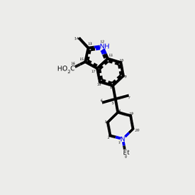 CCN1CCC(C(C)(C)c2ccc3[nH]c(C)c(C(=O)O)c3c2)CC1